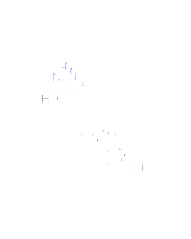 Cc1ccc([C@@H]2CCON2C(=O)[C@H]2CC[C@H](Cc3cc(C)c4ncnn4c3)CC2)cn1